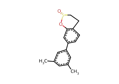 Cc1cc(C)cc(-c2ccc3c(c2)OS(=O)CC3)c1